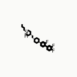 CCCC[Si@H]1CC[C@H](CC[C@H]2CC[C@H](c3ccc(-c4ccc(F)c(F)c4)c(F)c3)CC2)CC1